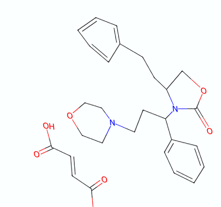 O=C(O)/C=C/C(=O)O.O=C1OCC(CCc2ccccc2)N1C(CCN1CCOCC1)c1ccccc1